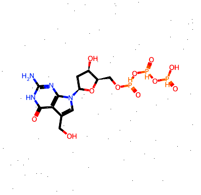 Nc1nc2c(c(CO)cn2[C@H]2C[C@@H](O)[C@@H](CO[PH](=O)O[PH](=O)O[PH](=O)O)O2)c(=O)[nH]1